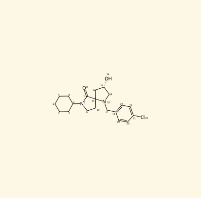 O=C1N(C2CCCCC2)CCC12C[C@H](O)CN2Cc1ccc(Cl)cc1